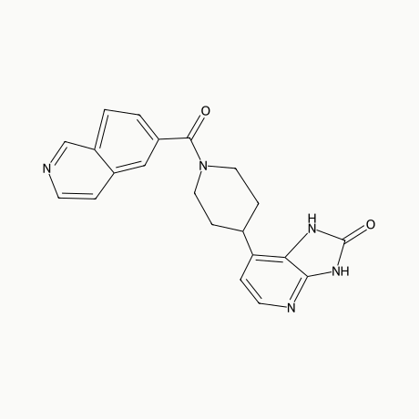 O=C(c1ccc2cnccc2c1)N1CCC(c2ccnc3[nH]c(=O)[nH]c23)CC1